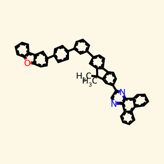 CC1(C)c2cc(-c3cccc(-c4ccc(-c5ccc6oc7ccccc7c6c5)cc4)c3)ccc2-c2ccc(-c3cnc4c5ccccc5c5ccccc5c4n3)cc21